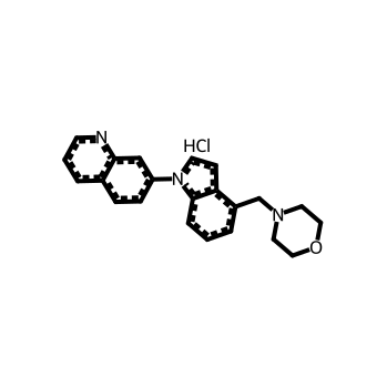 Cl.c1cnc2cc(-n3ccc4c(CN5CCOCC5)cccc43)ccc2c1